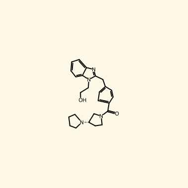 O=C(c1ccc(Cc2nc3ccccc3n2CCO)cc1)N1CC[C@H](N2CCCC2)C1